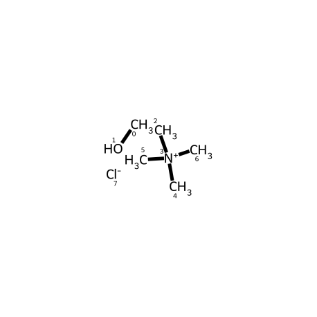 CO.C[N+](C)(C)C.[Cl-]